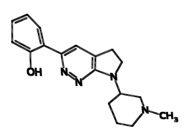 CN1CCCC(N2CCc3cc(-c4ccccc4O)nnc32)C1